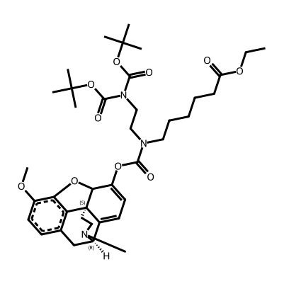 CCOC(=O)CCCCCN(CCN(C(=O)OC(C)(C)C)C(=O)OC(C)(C)C)C(=O)OC1=CC=C2[C@H]3Cc4ccc(OC)c5c4[C@@]2(CCN3C)C1O5